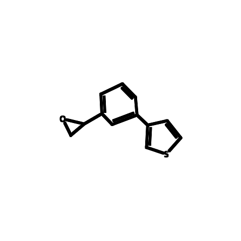 c1cc(-c2ccsc2)cc(C2CO2)c1